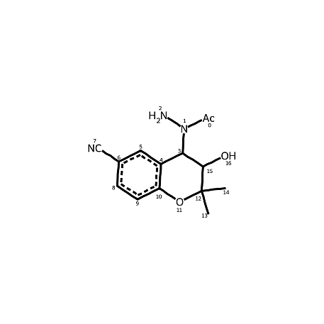 CC(=O)N(N)C1c2cc(C#N)ccc2OC(C)(C)C1O